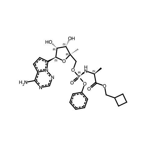 C[C@H](N[P@@](=O)(OC[C@@]1(C)O[C@@H](c2ccc3c(N)ncnn23)[C@H](O)[C@@H]1O)Oc1ccccc1)C(=O)OCC1CCC1